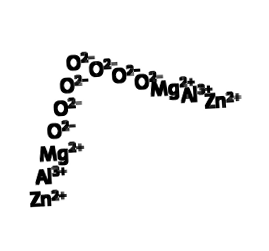 [Al+3].[Al+3].[Mg+2].[Mg+2].[O-2].[O-2].[O-2].[O-2].[O-2].[O-2].[O-2].[Zn+2].[Zn+2]